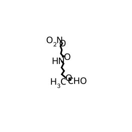 CC(CCCCNC(=O)CCCO[N+](=O)[O-])OC=O